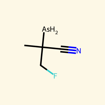 CC([AsH2])(C#N)CF